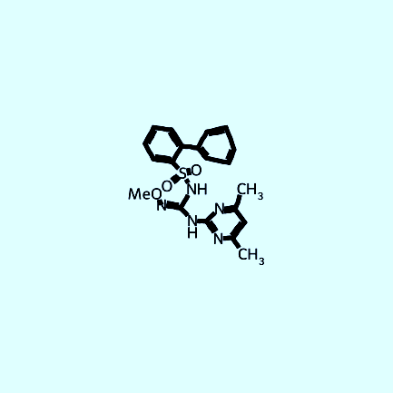 CO/N=C(/Nc1nc(C)cc(C)n1)NS(=O)(=O)c1ccccc1-c1ccccc1